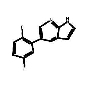 Fc1ccc(F)c(-c2cnc3[nH]ccc3c2)c1